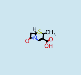 CC1S[C@H]2CC(=O)N2C=C1C(=O)O